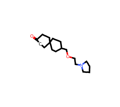 O=C1CCC2(CC1)CCC(COCCN1CCCC1)CC2